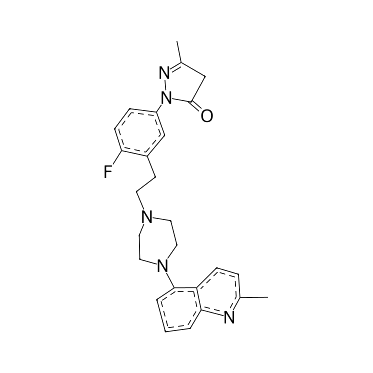 CC1=NN(c2ccc(F)c(CCN3CCN(c4cccc5nc(C)ccc45)CC3)c2)C(=O)C1